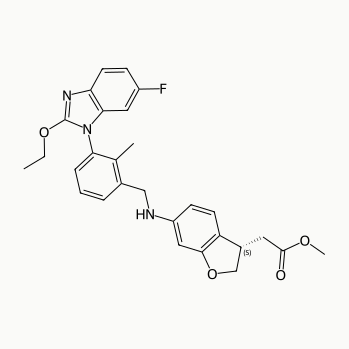 CCOc1nc2ccc(F)cc2n1-c1cccc(CNc2ccc3c(c2)OC[C@H]3CC(=O)OC)c1C